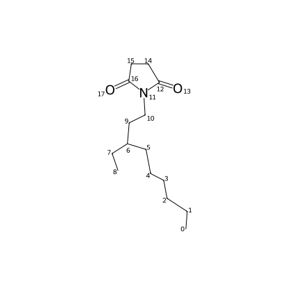 CCCCCCC(CC)CCN1C(=O)CCC1=O